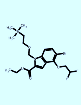 CCOC(=O)c1cc2c(OCC(F)F)c(Br)ccc2n1COCC[Si](C)(C)C